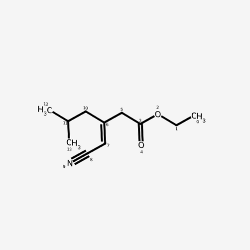 CCOC(=O)CC(=CC#N)CC(C)C